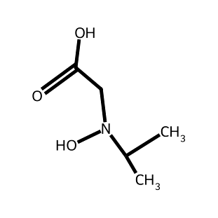 CC(C)N(O)CC(=O)O